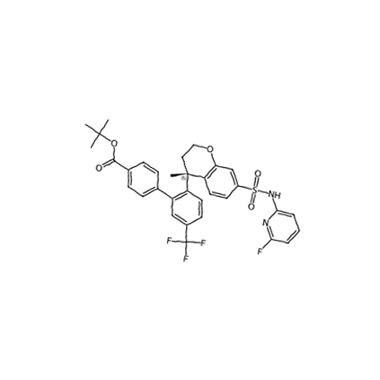 CC(C)(C)OC(=O)c1ccc(-c2cc(C(F)(F)F)ccc2[C@]2(C)CCOc3cc(S(=O)(=O)Nc4cccc(F)n4)ccc32)cc1